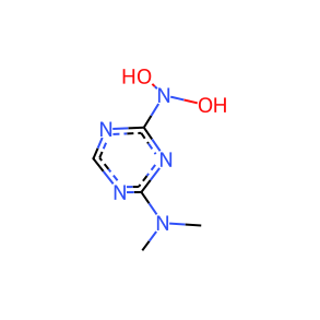 CN(C)c1ncnc(N(O)O)n1